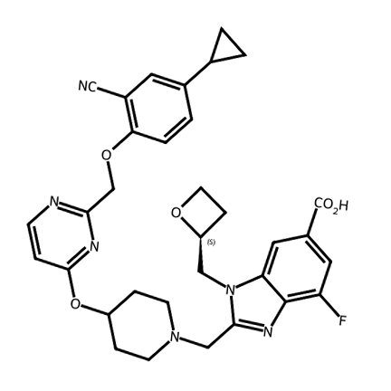 N#Cc1cc(C2CC2)ccc1OCc1nccc(OC2CCN(Cc3nc4c(F)cc(C(=O)O)cc4n3C[C@@H]3CCO3)CC2)n1